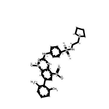 Cc1cccc(C)c1-c1cc([N+](=O)[O-])c2nc(Nc3ccc(S(=O)(=O)NCCN4CCCC4)cc3)n[n+]([O-])c2c1